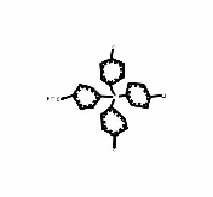 Clc1ccc([P+](c2ccc(Cl)cc2)(c2ccc(Cl)cc2)c2ccc(Cl)cc2)cc1.[Br-]